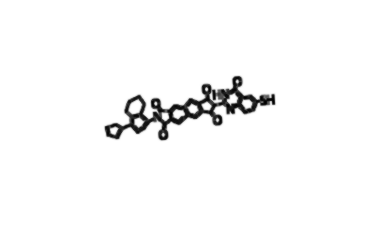 O=C1c2cc3cc4c(cc3cc2C(=O)C1c1nc2ccc(S)cc2c(=O)[nH]1)C(=O)N(c1ccc(C2=CC=CC2)c2c1CCCC2)C4=O